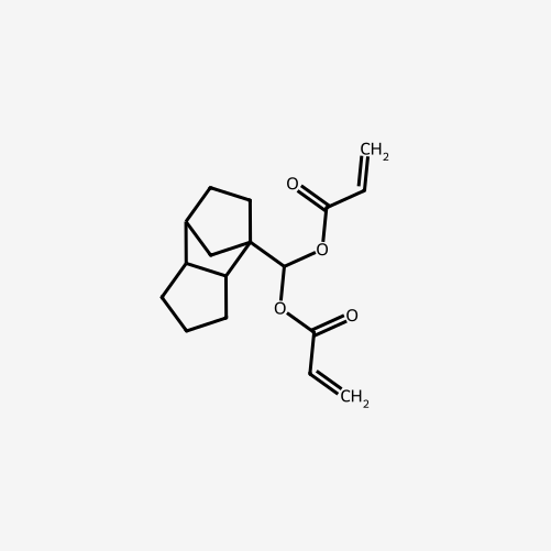 C=CC(=O)OC(OC(=O)C=C)C12CCC(C1)C1CCCC12